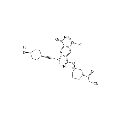 CCO[C@H]1CC[C@@H](C#Cc2cnc(O[C@@H]3CCCN(C(=O)CC#N)C3)c3cc(OC(C)C)c(C(N)=O)cc23)CC1